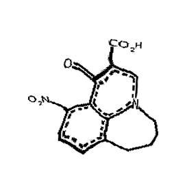 O=C(O)c1cn2c3c(ccc([N+](=O)[O-])c3c1=O)CCC2